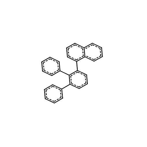 c1ccc(-c2cccc(-c3cccc4ccccc34)c2-c2ccccc2)cc1